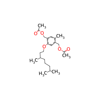 CC(=O)OCc1cc(OCCC(C)CCCC(C)C)c(COC(C)=O)cc1C